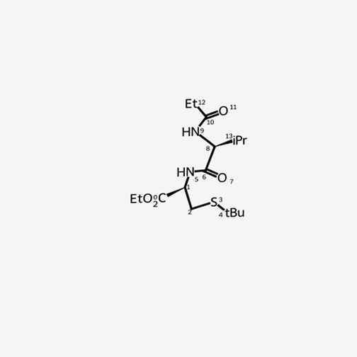 CCOC(=O)[C@H](CSC(C)(C)C)NC(=O)[C@@H](NC(=O)CC)C(C)C